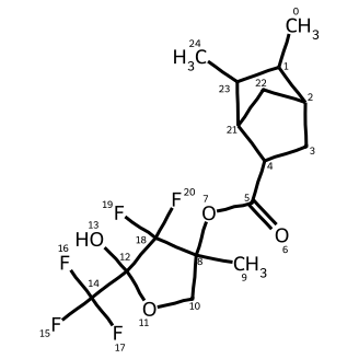 CC1C2CC(C(=O)OC3(C)COC(O)(C(F)(F)F)C3(F)F)C(C2)C1C